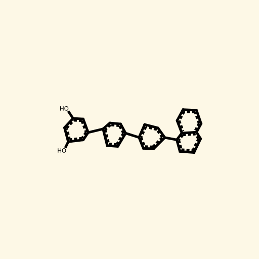 Oc1cc(O)cc(-c2ccc(-c3ccc(-c4cccc5ccccc45)cc3)cc2)c1